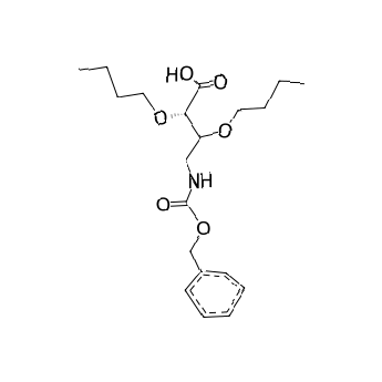 CCCCOC(CNC(=O)OCc1ccccc1)[C@H](OCCCC)C(=O)O